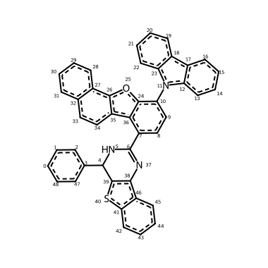 c1ccc(C2NC(c3ccc(-n4c5ccccc5c5ccccc54)c4oc5c6ccccc6ccc5c34)=Nc3c2sc2ccccc32)cc1